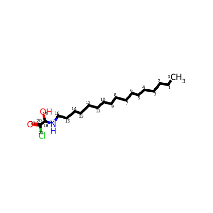 CCCCCCCCCCCCCCCCCNC(O)C(=O)Cl